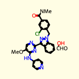 CNC(=O)c1ccc(Cn2nc(-c3ncc(OC)c(Nc4ccncc4)n3)c3ccccc32)c(Cl)c1.O=CO